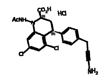 CC(=O)NN1c2cc(Cl)cc(Cl)c2[C@@H](c2ccc(CC#CN)cc2)C[C@@H]1C(=O)O.Cl